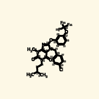 CC(C)CCn1c(=O)c2c(nc(Oc3cccc(OC(F)(F)F)c3)n2Cc2ccc(Cl)cc2)n(C)c1=O